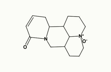 O=C1C=CCC2C3CCC[N+]4([O-])CCCC(CN12)C34